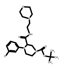 CC(C)(C)OC(=O)N1CCN(c2cccc(Cl)c2)C(C(=O)NCCN2CCOCC2)C1